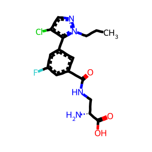 CCCn1ncc(Cl)c1-c1cc(F)cc(C(=O)NC[C@@H](N)C(=O)O)c1